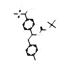 [CH2]c1ccc(CC(NC(=O)OC(C)(C)C)c2ccc(C(O)S(C)(=O)=O)cc2)cc1